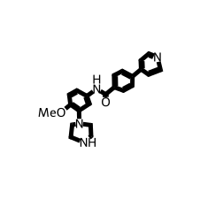 COc1ccc(NC(=O)c2ccc(-c3ccncc3)cc2)cc1N1CCNCC1